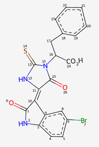 O=C1Nc2ccc(Br)cc2C1=C1NC(=S)N(C(Cc2ccccc2)C(=O)O)C1=O